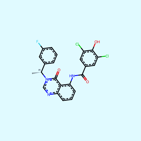 C[C@H](c1cccc(F)c1)n1cnc2cccc(NC(=O)c3cc(Cl)c(O)c(Cl)c3)c2c1=O